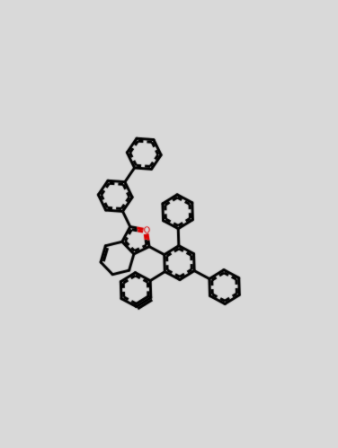 c1cccc(-c2cc(-c3ccccc3)cc(-c3ccccc3)c2-c2oc(-c3cccc(-c4ccccc4)c3)c3c2CCC=C3)c#1